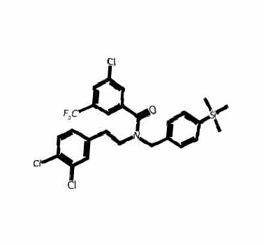 C[Si](C)(C)c1ccc(CN(CCc2ccc(Cl)c(Cl)c2)C(=O)c2cc(Cl)cc(C(F)(F)F)c2)cc1